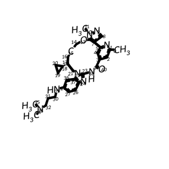 Cc1cc2cc(n1)-c1cnn(C)c1OCCC[C@@H](C1CC1)Cn1c(nc3ccc(NCCCN(C)C)cc31)NC2=O